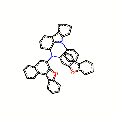 c1ccc(-n2c3ccccc3c3cccc(N(c4ccc5c(c4)oc4ccccc45)c4cc5ccccc5c5c4oc4ccccc45)c32)cc1